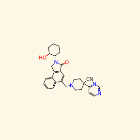 N#CC1(c2ccncn2)CCN(Cc2cc3c(c4ccccc24)CN([C@H]2CCCC[C@@H]2O)C3=O)CC1